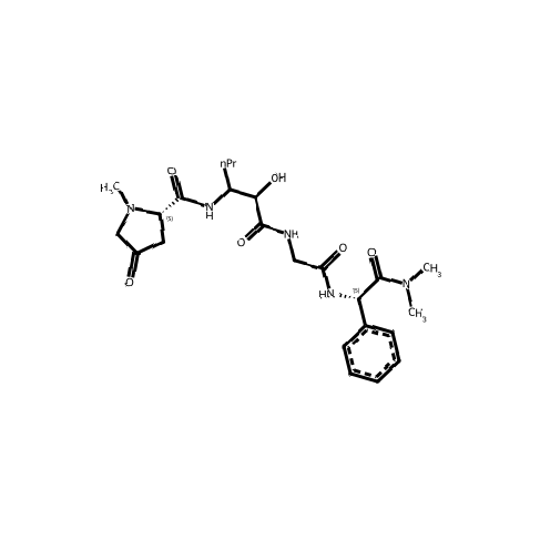 CCCC(NC(=O)[C@@H]1CC(=O)CN1C)C(O)C(=O)NCC(=O)N[C@H](C(=O)N(C)C)c1ccccc1